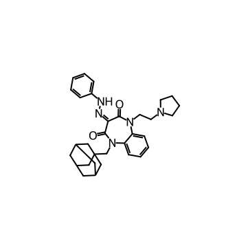 O=c1c(=NNc2ccccc2)c(=O)n(CC23CC4CC(CC(C4)C2)C3)c2ccccc2n1CCN1CCCC1